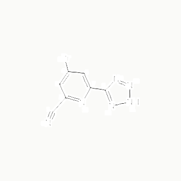 N#Cc1cc(Br)cc(-c2nn[nH]n2)n1